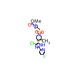 COC(=O)N1CC(CS(=O)(=O)N2CC[C@@H](c3[nH]c(-c4ccc(F)cn4)nc3Cl)[C@@H](C)C2)C1